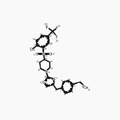 CCc1ccc(Cc2csc(N3CCC(S(=O)(=O)c4cc(C(F)(F)F)ccc4Cl)CC3)n2)cc1